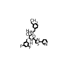 CCc1cccc(CNC[C@H](O)[C@@H](Cc2cc(F)cc(F)c2)NC(=O)c2csc(-c3cccnc3)n2)c1